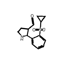 O=CC1CCNC1c1ccccc1S(=O)(=O)C1CC1